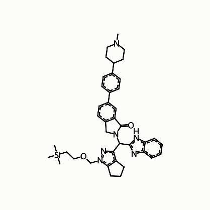 CN1CCC(c2ccc(-c3ccc4c(c3)C(=O)N(C(c3nc5ccccc5[nH]3)c3nn(COCC[Si](C)(C)C)c5c3CCC5)C4)cc2)CC1